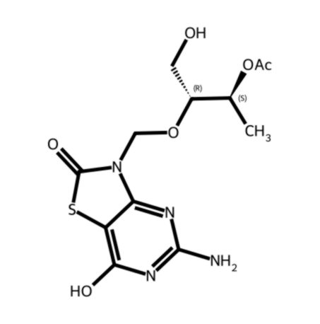 CC(=O)O[C@@H](C)[C@@H](CO)OCn1c(=O)sc2c(O)nc(N)nc21